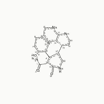 NC(=O)c1c(-c2ncccc2O)c(-c2ccnc3ncccc23)c[nH]c1=O